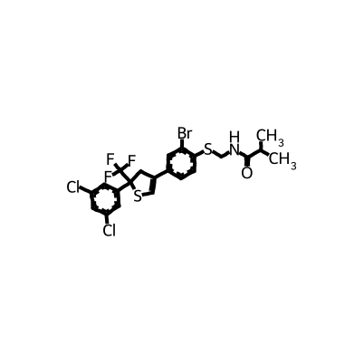 CC(C)C(=O)NCSc1ccc(C2=CSC(c3cc(Cl)cc(Cl)c3)(C(F)(F)F)C2)cc1Br